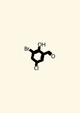 O=CC1=CC(Cl)CC(Br)=C1O